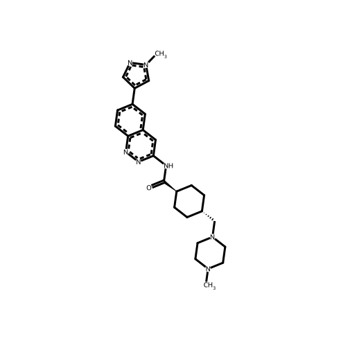 CN1CCN(C[C@H]2CC[C@H](C(=O)Nc3cc4cc(-c5cnn(C)c5)ccc4nn3)CC2)CC1